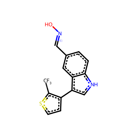 O/N=C/c1ccc2[nH]cc(-c3ccsc3C(F)(F)F)c2c1